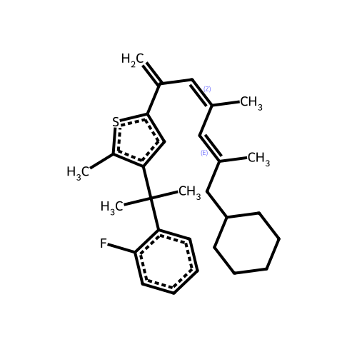 C=C(/C=C(C)\C=C(/C)CC1CCCCC1)c1cc(C(C)(C)c2ccccc2F)c(C)s1